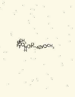 Cc1ccc(N2CCN(CCCC(=O)N3CCC(Nc4ccc([S+](C)[O-])c(C(F)(F)F)c4)CC3)CC2)cc1